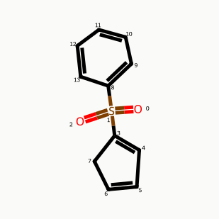 O=S(=O)(C1=CC=CC1)c1ccccc1